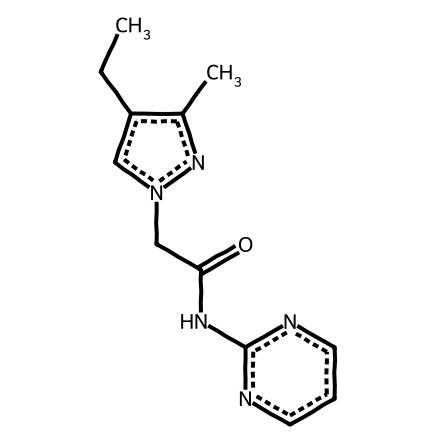 CCc1cn(CC(=O)Nc2ncccn2)nc1C